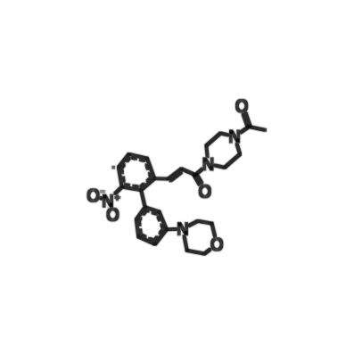 CC(=O)N1CCN(C(=O)/C=C/c2cc[c]c([N+](=O)[O-])c2-c2cccc(N3CCOCC3)c2)CC1